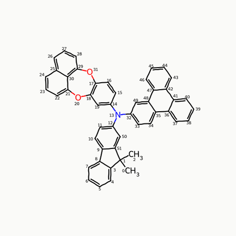 CC1(C)c2ccccc2-c2ccc(N(c3ccc4c(c3)Oc3cccc5cccc(c35)O4)c3ccc4c5ccccc5c5ccccc5c4c3)cc21